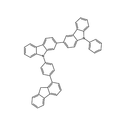 c1ccc(-n2c3ccccc3c3cc(-c4ccc5c6ccccc6n(-c6ccc(-c7cccc8c7Cc7ccccc7-8)cc6)c5c4)ccc32)cc1